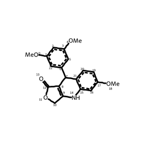 COc1cc(OC)cc(C2C3=C(COC3=O)Nc3cc(OC)ccc32)c1